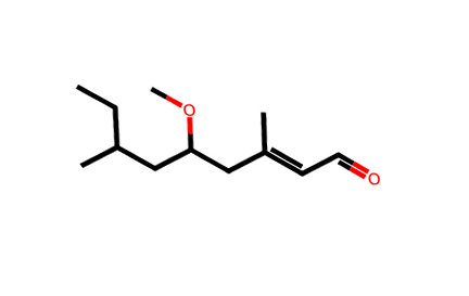 CCC(C)CC(C/C(C)=C/C=O)OC